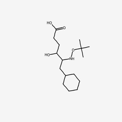 CC(C)(C)ONC(CC1CCCCC1)C(O)CCC(=O)O